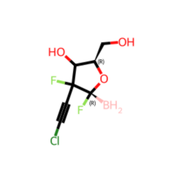 B[C@]1(F)O[C@H](CO)C(O)C1(F)C#CCl